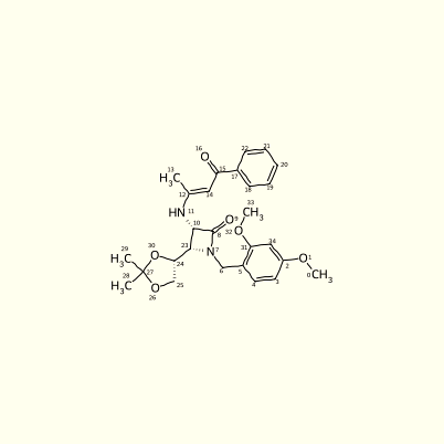 COc1ccc(CN2C(=O)[C@@H](NC(C)=CC(=O)c3ccccc3)[C@H]2[C@@H]2COC(C)(C)O2)c(OC)c1